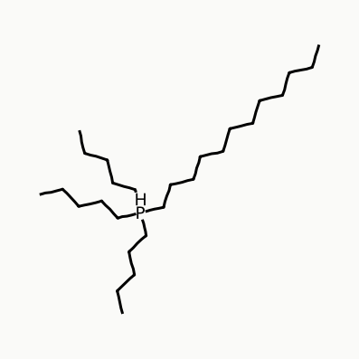 CCCCCCCCCCCC[PH](CCCCC)(CCCCC)CCCCC